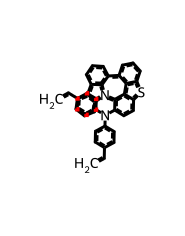 C=Cc1ccc(N(c2ccc(C=C)cc2)c2ccc3sc4cccc5c6cccc7c8ccccc8n(c2c3c45)c67)cc1